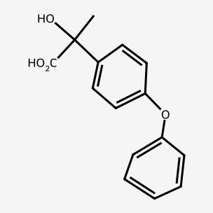 CC(O)(C(=O)O)c1ccc(Oc2ccccc2)cc1